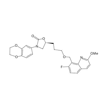 COc1ccc2ccc(F)c(COCCC[C@H]3CN(c4ccc5c(c4)OCCO5)C(=O)O3)c2n1